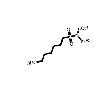 CCCCCCCCN(CCCCCCCC)S(=O)(=O)CCCCCCC=O